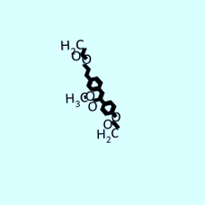 C=CC(=O)OCCCc1ccc(/C=C(\C=O)c2ccc(OC(=O)C=C)cc2)c(OC)c1